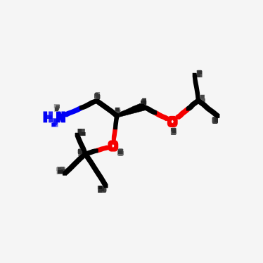 CC(C)OC[C@H](CN)OC(C)(C)C